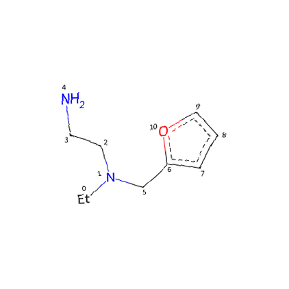 CCN(CCN)Cc1ccco1